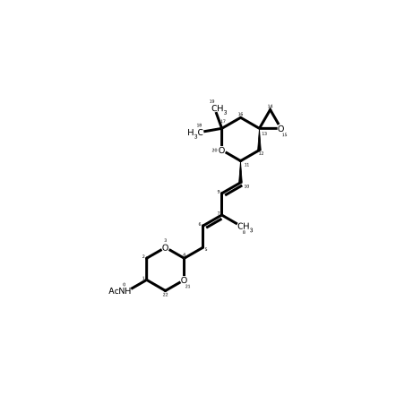 CC(=O)NC1COC(C/C=C(C)/C=C/[C@@H]2C[C@]3(CO3)CC(C)(C)O2)OC1